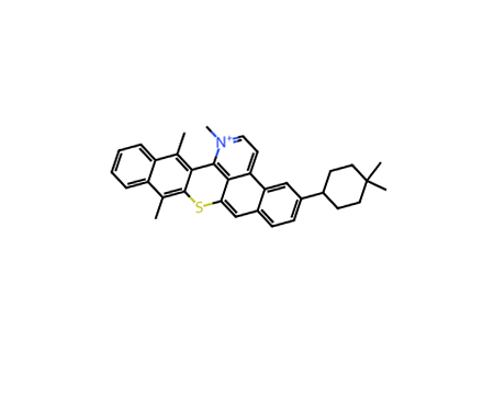 Cc1c2c(c(C)c3ccccc13)-c1c3c(cc4ccc(C5CCC(C)(C)CC5)cc4c3cc[n+]1C)S2